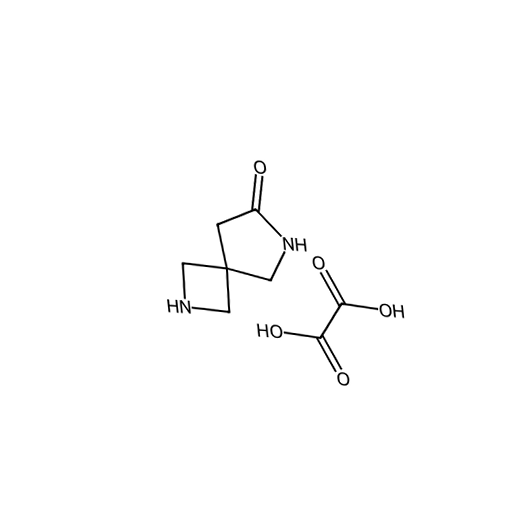 O=C(O)C(=O)O.O=C1CC2(CNC2)CN1